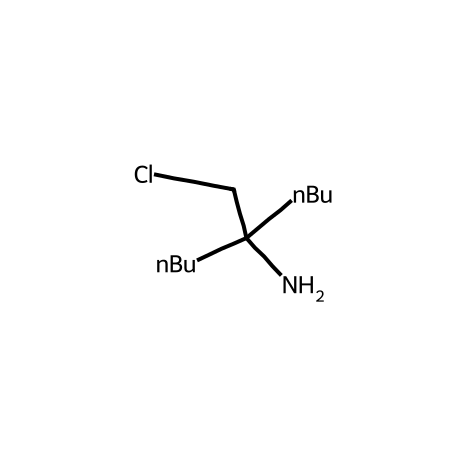 CCCCC(N)(CCl)CCCC